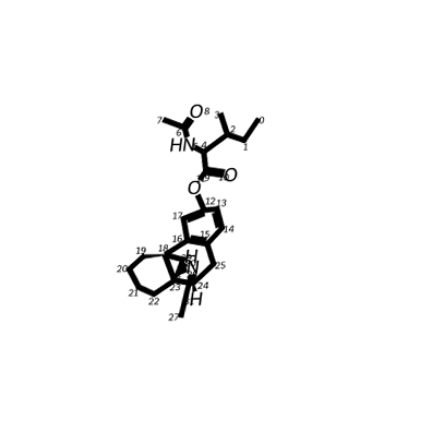 CCC(C)C(NC(C)=O)C(=O)Oc1ccc2c(c1)[C@@]13CCCC[C@H]1[C@@H](C2)N(C)CC3